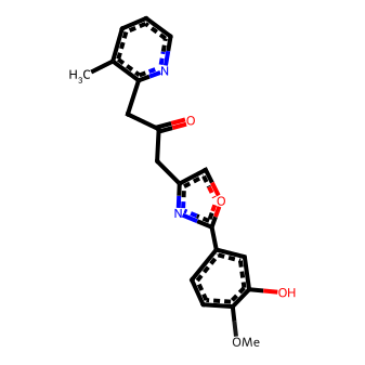 COc1ccc(-c2nc(CC(=O)Cc3ncccc3C)co2)cc1O